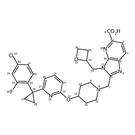 O=C(O)c1ccc2nc(CN3CCC(Oc4cccc(C5(c6ccc(Cl)cc6F)CC5)n4)CC3)n(CC3CCO3)c2n1